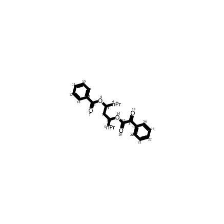 CCCC(CC(CCC)OC(=O)c1ccccc1)OC(=O)C(=O)c1ccccc1